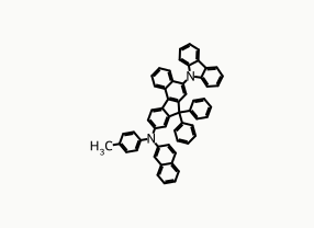 Cc1ccc(N(c2ccc3c(c2)C(c2ccccc2)(c2ccccc2)c2cc(-n4c5ccccc5c5ccccc54)c4ccccc4c2-3)c2ccc3ccccc3c2)cc1